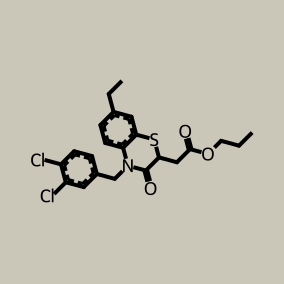 CCCOC(=O)CC1Sc2cc(CC)ccc2N(Cc2ccc(Cl)c(Cl)c2)C1=O